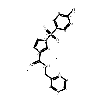 O=C(NCc1cnccn1)c1ccn(S(=O)(=O)c2ccc(Cl)cc2)c1